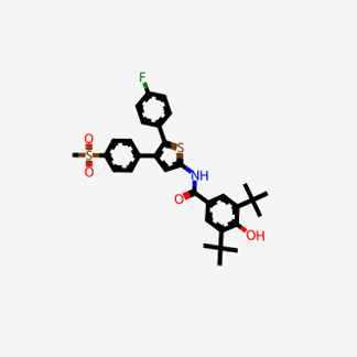 CC(C)(C)c1cc(C(=O)Nc2cc(-c3ccc(S(C)(=O)=O)cc3)c(-c3ccc(F)cc3)s2)cc(C(C)(C)C)c1O